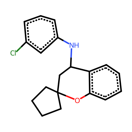 Clc1cccc(NC2CC3(CCCC3)Oc3ccccc32)c1